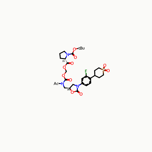 CC(=O)N(C[C@H]1CN(c2ccc(C3CCS(=O)(=O)CC3)c(F)c2)C(=O)O1)C(=O)OCOC(=O)[C@@H]1CCCN1C(=O)OC(C)(C)C